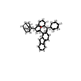 [C]1=c2ccccc2=c2ccc(=C(c3ccccc3)c3ccccc3)c(C3=CC(C4C5CC6CC(C5)CC4C6)=CC3)c21